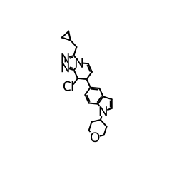 ClC1c2nnc(CC3CC3)n2C=CC1c1ccc2c(ccn2C2CCOCC2)c1